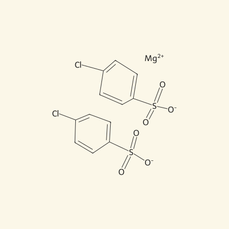 O=S(=O)([O-])c1ccc(Cl)cc1.O=S(=O)([O-])c1ccc(Cl)cc1.[Mg+2]